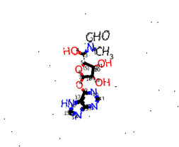 CN(C=O)C(O)[C@H]1OC(Oc2ncnc3nc[nH]c23)[C@H](O)[C@@H]1O